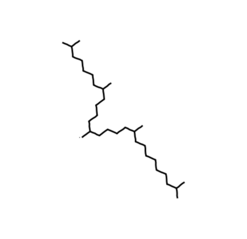 [CH2]C(CCCCC(C)CCCCCCCC(C)C)CCCCC(C)CCCCCC(C)C